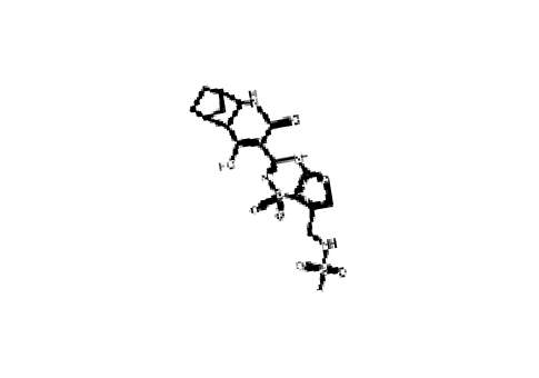 CS(=O)(=O)NCc1csc2c1S(=O)(=O)N=C(C1=C(O)C3C4CCC(C4)C3NC1=O)N2